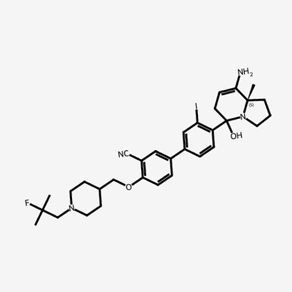 CC(C)(F)CN1CCC(COc2ccc(-c3ccc(C4(O)CC=C(N)[C@]5(C)CCCN45)c(I)c3)cc2C#N)CC1